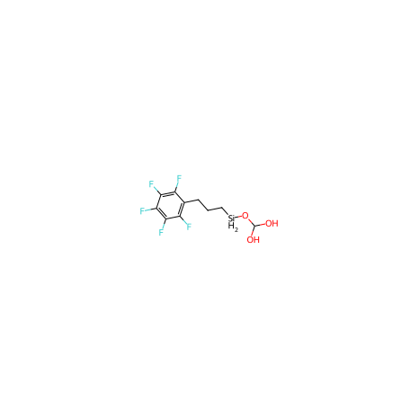 OC(O)O[SiH2]CCCc1c(F)c(F)c(F)c(F)c1F